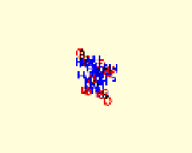 Cc1c(C)c(S(=O)(=O)NC(=N)NCCC[C@H](NC(=O)c2nc(N)c(C(=O)N[C@@H](CCCNC(=N)NS(=O)(=O)c3c(C)c(C)c4c(c3C)CC(C)(C)O4)C(=O)NCCNC(=O)OC(C)(C)C)nc2N)C(=O)NCCNC(=O)OC(C)(C)C)c(C)c2c1OC(C)(C)C2